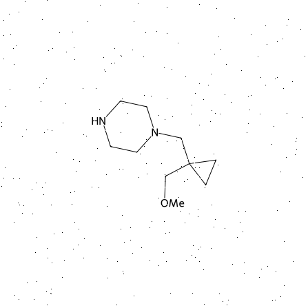 COCC1(CN2CCNCC2)CC1